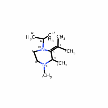 CC(C)=C1C(C)N(C)CCN1C(C)C